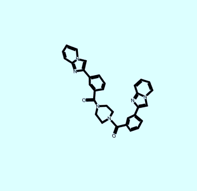 O=C(c1cccc(-c2cn3ccccc3n2)c1)N1CCN(C(=O)c2cccc(-c3cn4ccccc4n3)c2)CC1